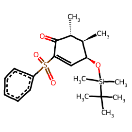 C[C@H]1[C@@H](O[Si](C)(C)C(C)(C)C)C=C(S(=O)(=O)c2ccccc2)C(=O)[C@@H]1C